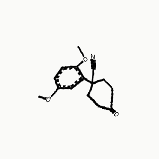 COc1ccc(OC)c(C2(C#N)CCC(=O)CC2)c1